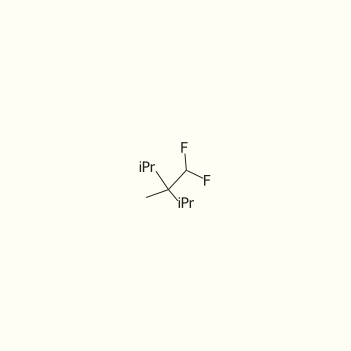 CC(C)C(C)(C(C)C)C(F)F